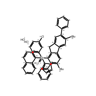 Cl.Cl.[CH2]=[Zr]([C]1=CC=CC1)([c]1cccc(Cl)c1)([c]1c2c(cc(C(C)(C)C)c1-c1ccccc1)-c1cc(C(C)(C)C)c(-c3ccccc3)cc1C2)[c]1cccc2ccccc12